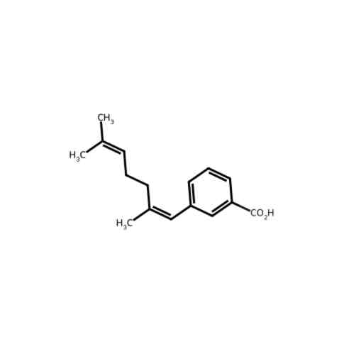 CC(C)=CCCC(C)=Cc1cccc(C(=O)O)c1